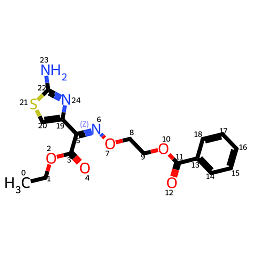 CCOC(=O)/C(=N\OCCOC(=O)c1ccccc1)c1csc(N)n1